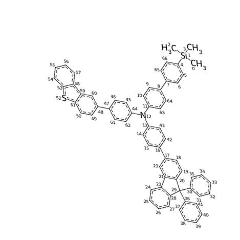 C[Si](C)(C)c1ccc(-c2ccc(N(c3ccc(-c4ccc5c(c4)-c4ccccc4C5(c4ccccc4)c4ccccc4)cc3)c3ccc(-c4ccc5sc6ccccc6c5c4)cc3)cc2)cc1